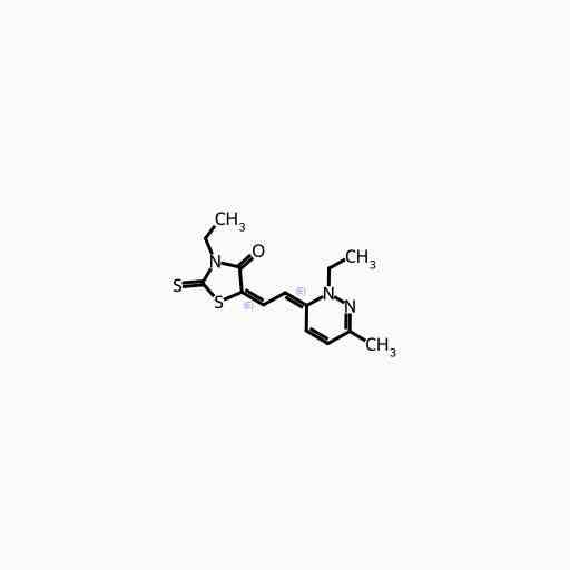 CCN1C(=O)/C(=C\C=C2/C=CC(C)=NN2CC)SC1=S